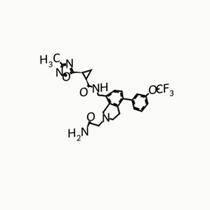 Cc1noc([C@H]2C[C@H]2C(=O)NCc2ccc(-c3cccc(OC(F)(F)F)c3)c3c2CN(CC(N)=O)CC3)n1